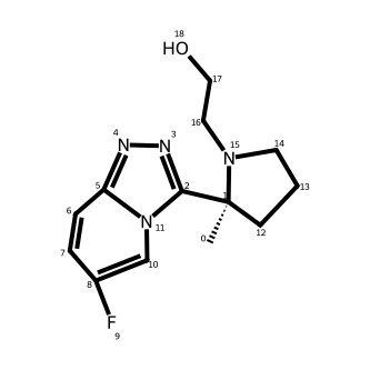 C[C@@]1(c2nnc3ccc(F)cn23)CCCN1CCO